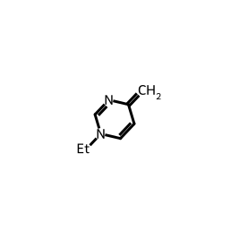 C=C1C=CN(CC)C=N1